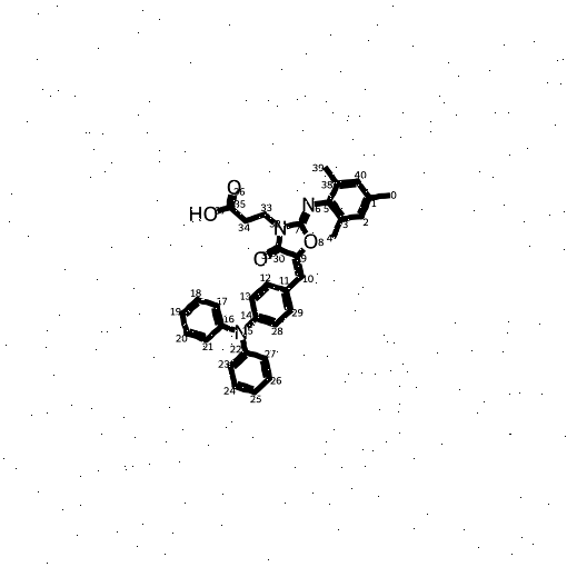 Cc1cc(C)c(N=C2O/C(=C/c3ccc(N(c4ccccc4)c4ccccc4)cc3)C(=O)N2CCC(=O)O)c(C)c1